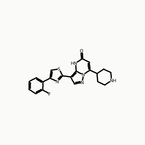 O=c1cc(C2CCNCC2)n2ncc(-c3nc(-c4ccccc4F)cs3)c2[nH]1